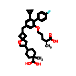 C[C@@H](CCCOc1cc(CC2CC3(CC(C4CCC(C)(C(O)O)CC4)=CO3)C2)cc(C2CC2)c1-c1ccc(F)cc1)C(=O)O